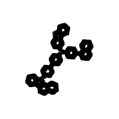 C1=CC(c2ccc(N(c3ccc(-c4cccc5ccccc45)cc3)c3ccc4sc5ccccc5c4c3)cc2)CC=C1n1c2ccccc2c2ccc3ccccc3c21